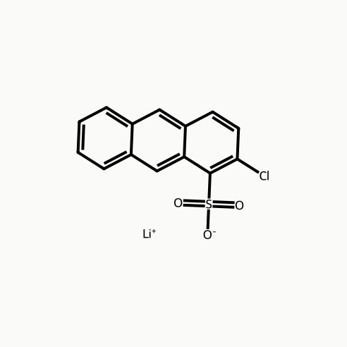 O=S(=O)([O-])c1c(Cl)ccc2cc3ccccc3cc12.[Li+]